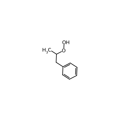 CC(Cc1ccccc1)OO